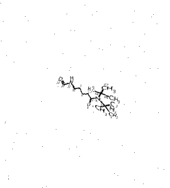 CC(C)(C)N(C(=O)CCCCN[C]=O)C(C)(C)C